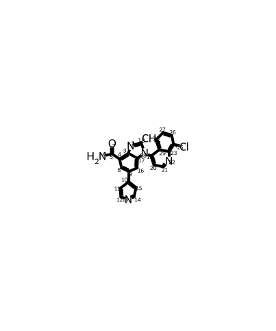 Cc1nc2c(C(N)=O)cc(-c3ccncc3)cc2n1-c1ccnc2c(Cl)cccc12